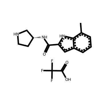 Cc1cccc2cc(C(=O)N[C@@H]3CCNC3)[nH]c12.O=C(O)C(F)(F)F